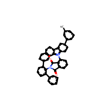 N#Cc1cccc(-c2ccc3c(c2)c2ccccc2n3-c2cccc3c2C(=O)N(c2c(-c4ccccc4)cccc2-c2ccccc2)C3=O)c1